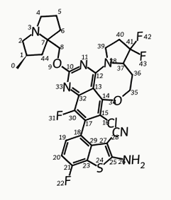 C[C@H]1CN2CCCC2(COc2nc3c4c(c(Cl)c(-c5ccc(F)c6sc(N)c(C#N)c56)c(F)c4n2)OCCC2N3CCC2(F)F)C1